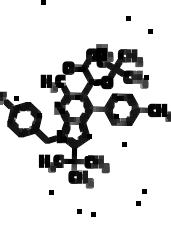 Cc1ccc(-c2c([C@H](OC(C)(C)C)C(=O)O)c(C)nc3c2cc(C(C)(C)C)n3Cc2ccc(F)cc2)cc1